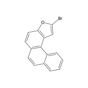 Brc1cc2c(ccc3ccc4ccccc4c32)o1